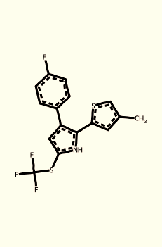 Cc1csc(-c2[nH]c(SC(F)(F)F)cc2-c2ccc(F)cc2)c1